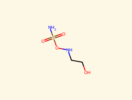 NS(=O)(=O)ONCCO